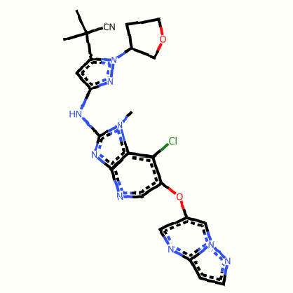 Cn1c(Nc2cc(C(C)(C)C#N)n(C3CCOC3)n2)nc2ncc(Oc3cnc4ccnn4c3)c(Cl)c21